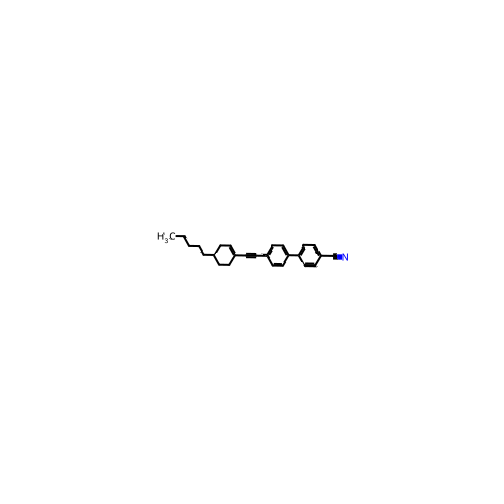 CCCCCC1CC=C(C#Cc2ccc(-c3ccc(C#N)cc3)cc2)CC1